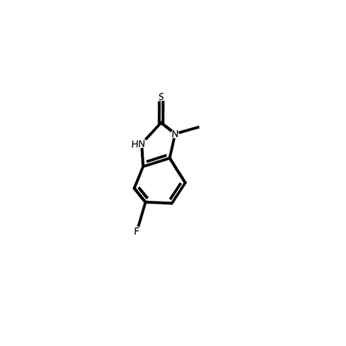 Cn1c(=S)[nH]c2cc(F)ccc21